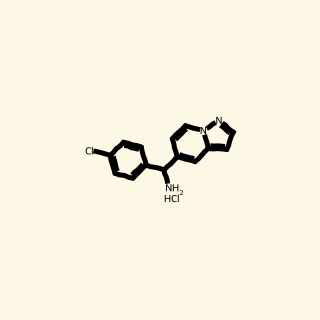 Cl.NC(c1ccc(Cl)cc1)c1ccn2nccc2c1